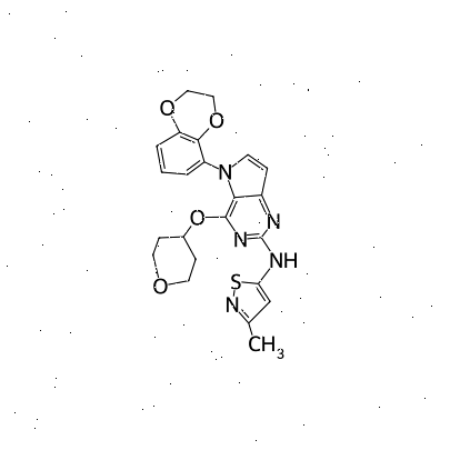 Cc1cc(Nc2nc(OC3CCOCC3)c3c(ccn3-c3cccc4c3OCCO4)n2)sn1